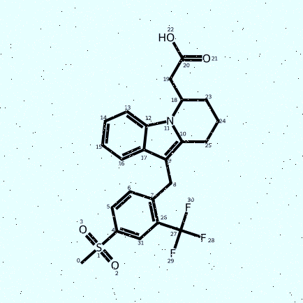 CS(=O)(=O)c1ccc(Cc2c3n(c4ccccc24)C(CC(=O)O)CCC3)c(C(F)(F)F)c1